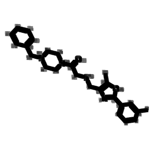 Cc1cccc(-c2nc(CSCC(=O)N3CCN(Cc4ccccc4)CC3)c(C)o2)c1